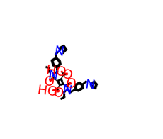 CCCN(Cc1ccc(Cn2cccc2)cc1)C(=O)[C@H]1[C@H](C(=O)O)[C@H](C(=O)N(CCC)Cc2ccc(Cn3cccc3)cc2)[C@@H]1C(=O)O